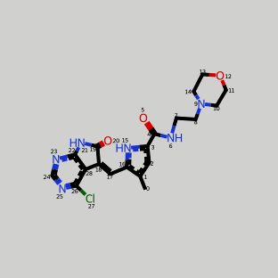 Cc1cc(C(=O)NCCN2CCOCC2)[nH]c1C=C1C(=O)Nc2ncnc(Cl)c21